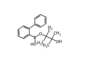 CC(C)(O)C(C)(C)OB(O)c1ccccc1-c1ccccc1